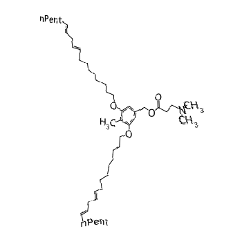 CCCCCC=CCC=CCCCCCCCCOc1cc(COC(=O)CCN(C)C)cc(OCCCCCCCCC=CCC=CCCCCC)c1C